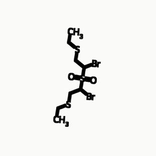 CCSCC(Br)S(=O)(=O)C(Br)CSCC